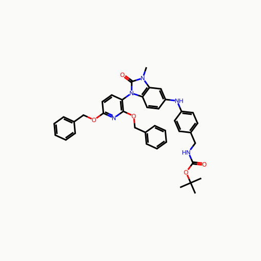 Cn1c(=O)n(-c2ccc(OCc3ccccc3)nc2OCc2ccccc2)c2ccc(Nc3ccc(CNC(=O)OC(C)(C)C)cc3)cc21